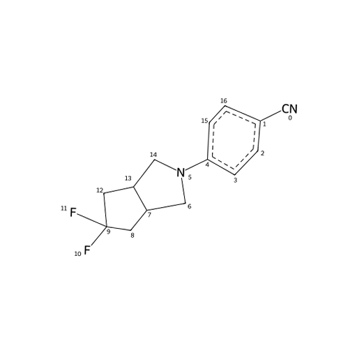 N#Cc1ccc(N2CC3CC(F)(F)CC3C2)cc1